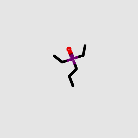 CCCP(=O)(CC)CC